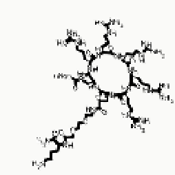 CCCCCCCCCC(=O)NC[C@@H]1NC(=O)[C@H](CCC(=O)NCCOCCOCC(=O)NC(CCCCN)C(N)=O)NC(=O)[C@H](CCCNC(=N)N)NC(=O)[C@H](CCCNC(=N)N)NC(=O)[C@H](CCCNC(=N)N)NC(=O)[C@H](CCCNC(=N)N)NC(=O)[C@H](CCCNC(=N)N)NC1=O